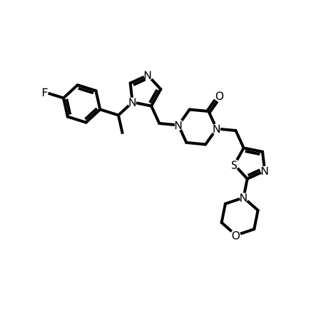 CC(c1ccc(F)cc1)n1cncc1CN1CCN(Cc2cnc(N3CCOCC3)s2)C(=O)C1